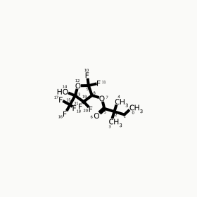 CCC(C)(C)C(=O)OC1C(F)(F)OC(O)(C(F)(F)F)C1(F)F